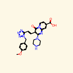 COc1ccc(Cn2nnnc2C=Cc2c(N3CCNCC3)nc3cc(C(=O)O)ccn3c2=O)cc1